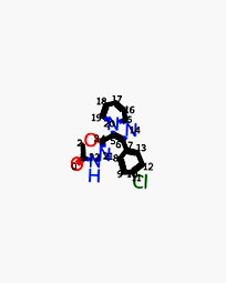 O=C1COC(c2c(-c3ccc(Cl)cc3)nc3ccccn23)=NN1